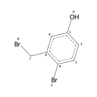 Oc1ccc(Br)c(CBr)c1